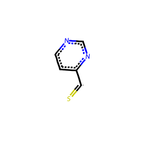 S=[C]c1ccncn1